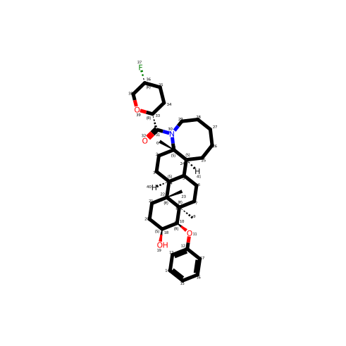 C[C@]12CC[C@H]3C(CC[C@@]4(C)[C@@H](Oc5ccccc5)[C@@H](O)CC[C@]34C)[C@@H]1CCCCCN2C(=O)[C@H]1CC[C@@H](F)CO1